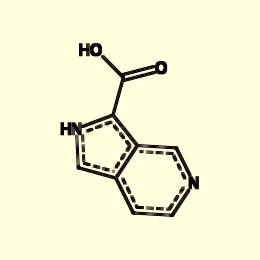 O=C(O)c1[nH]cc2ccncc12